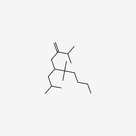 C=C(CC(CC(C)C)C(C)(C)CCCC)C(C)C